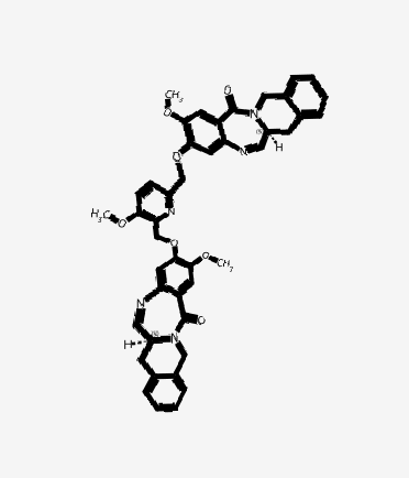 COc1cc2c(cc1OCc1ccc(OC)c(COc3cc4c(cc3OC)C(=O)N3Cc5ccccc5C[C@H]3C=N4)n1)N=C[C@@H]1Cc3ccccc3CN1C2=O